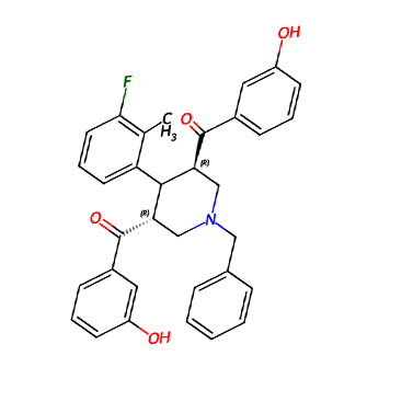 Cc1c(F)cccc1C1[C@@H](C(=O)c2cccc(O)c2)CN(Cc2ccccc2)C[C@@H]1C(=O)c1cccc(O)c1